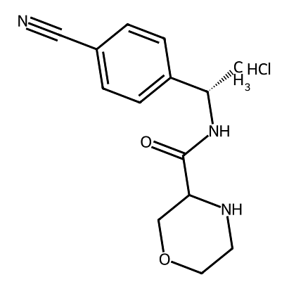 C[C@H](NC(=O)C1COCCN1)c1ccc(C#N)cc1.Cl